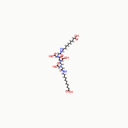 O=C(O)CCCCCCCCCCNC(=O)CN(CCN(CCN(CC(=O)O)CC(=O)NCCCCCCCCCCC(=O)O)CC(=O)O)CC(=O)O